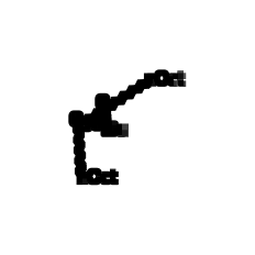 CCCCCCCCC=CCCCCCCCC(=O)OCC(COC(=O)CCCCCCCC=CCCCCCCCC)O[Si](C)(C)C(C)(C)C